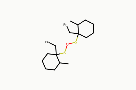 CC(C)CC1(SOSC2(CC(C)C)CCCCC2C)CCCCC1C